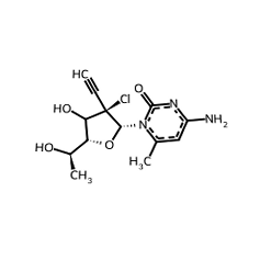 C#C[C@@]1(Cl)C(O)[C@@H]([C@@H](C)O)O[C@H]1n1c(C)cc(N)nc1=O